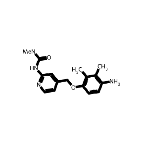 CNC(=O)Nc1cc(COc2ccc(N)c(C)c2C)ccn1